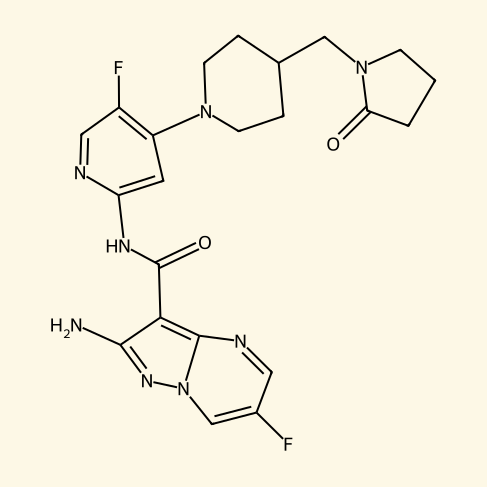 Nc1nn2cc(F)cnc2c1C(=O)Nc1cc(N2CCC(CN3CCCC3=O)CC2)c(F)cn1